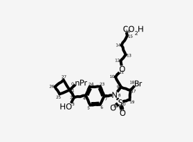 CCCC1(C(O)c2ccc(N3C(COCCCCC(=O)O)C(Br)CS3(=O)=O)cc2)CCC1